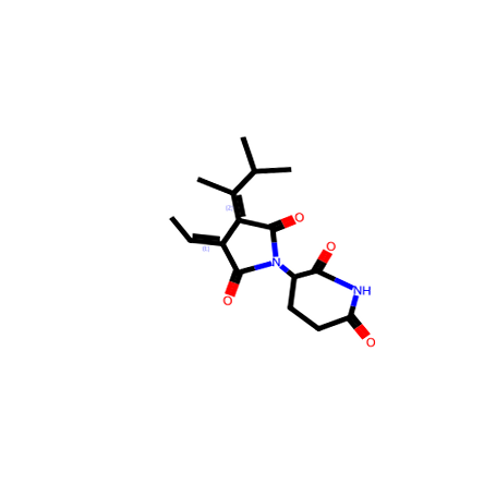 C/C=C1/C(=O)N(C2CCC(=O)NC2=O)C(=O)/C1=C(/C)C(C)C